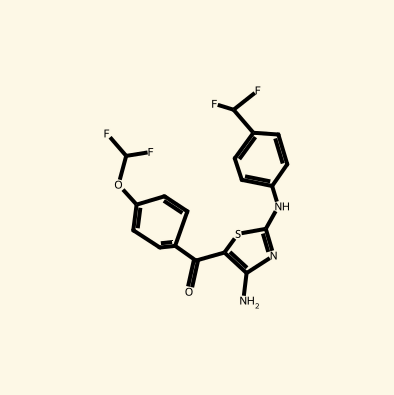 Nc1nc(Nc2ccc(C(F)F)cc2)sc1C(=O)c1ccc(OC(F)F)cc1